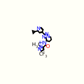 Cn1nc(C(F)(F)F)cc1C(=O)N[C@H]1CCCn2nc(-c3ccnc(C4CC4)c3)nc21